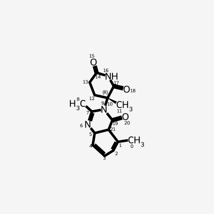 CC1=CC=CC2N=C(C)N([C@]3(C)CCC(=O)NC3=O)C(=O)C12